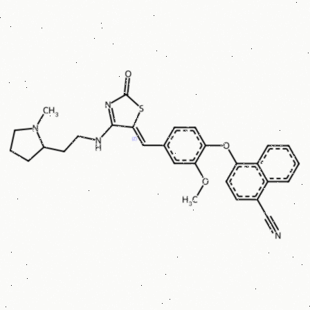 COc1cc(/C=C2\SC(=O)N=C2NCCC2CCCN2C)ccc1Oc1ccc(C#N)c2ccccc12